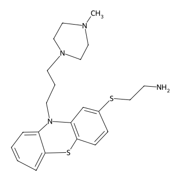 CN1CCN(CCCN2c3ccccc3Sc3ccc(SCCN)cc32)CC1